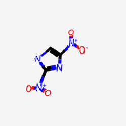 O=[N+]([O-])C1=C[N]C([N+](=O)[O-])=N1